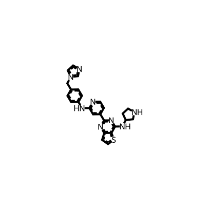 c1cn(Cc2ccc(Nc3cc(-c4nc(NC5CCNC5)c5sccc5n4)ccn3)cc2)cn1